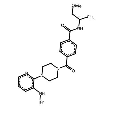 COCC(C)NC(=O)c1ccc(C(=O)N2CCN(c3ncccc3NC(C)C)CC2)cc1